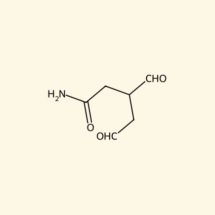 NC(=O)CC(C=O)CC=O